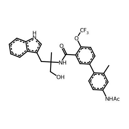 CC(=O)Nc1ccc(-c2ccc(OC(F)(F)F)c(C(=O)NC(C)(CO)Cc3c[nH]c4ccccc34)c2)c(C)c1